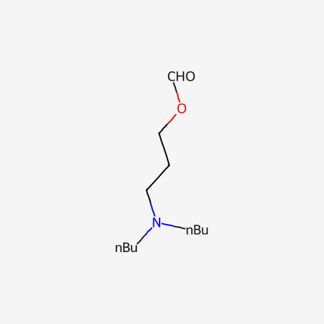 CCCCN(CCCC)CCCOC=O